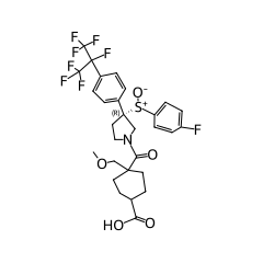 COCC1(C(=O)N2CC[C@](c3ccc(C(F)(C(F)(F)F)C(F)(F)F)cc3)([S+]([O-])c3ccc(F)cc3)C2)CCC(C(=O)O)CC1